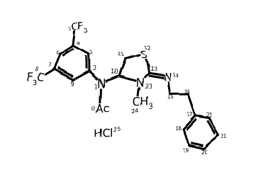 CC(=O)N(c1cc(C(F)(F)F)cc(C(F)(F)F)c1)C1CSC(=NCCc2ccccc2)N1C.Cl